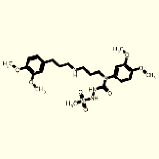 COc1ccc(CCCNCCCN(C(=O)NNS(C)(=O)=O)c2ccc(OC)c(OC)c2)cc1OC